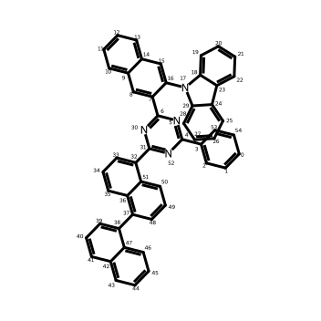 c1ccc(-c2nc(-c3cc4ccccc4cc3-n3c4ccccc4c4ccccc43)nc(-c3cccc4c(-c5cccc6ccccc56)cccc34)n2)cc1